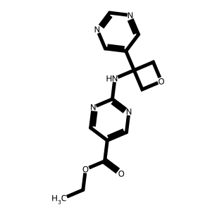 CCOC(=O)c1cnc(NC2(c3cncnc3)COC2)nc1